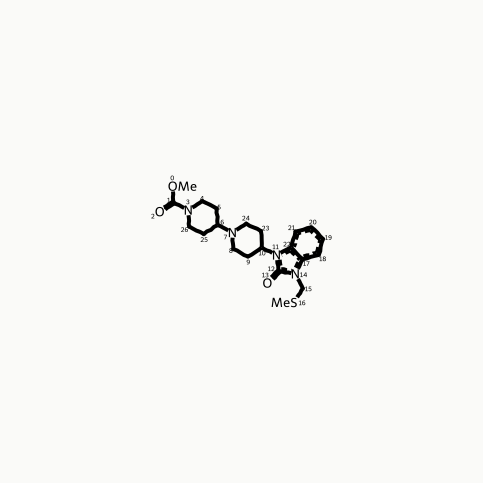 COC(=O)N1CCC(N2CCC(n3c(=O)n(CSC)c4ccccc43)CC2)CC1